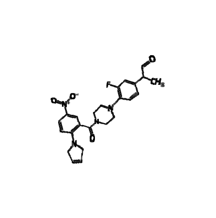 CC(C=O)c1ccc(N2CCN(C(=O)c3cc([N+](=O)[O-])ccc3N3CC=CC3)CC2)c(F)c1